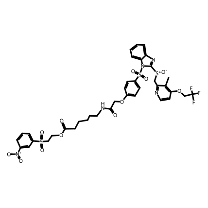 Cc1c(OCC(F)(F)F)ccnc1C[S+]([O-])c1nc2ccccc2n1S(=O)(=O)c1ccc(OCC(=O)NCCCCCC(=O)OCCS(=O)(=O)c2cccc([N+](=O)[O-])c2)cc1